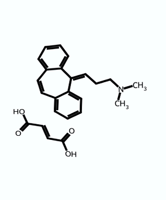 CN(C)CCC=C1c2ccccc2C=Cc2ccccc21.O=C(O)/C=C/C(=O)O